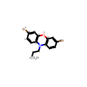 O=C(O)CCN1c2ccc(Br)cc2Oc2cc(Br)ccc21